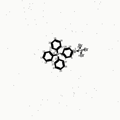 [Br][Fe-]([Br])([Br])[Br].c1ccc([P+](c2ccccc2)(c2ccccc2)c2ccccc2)cc1